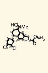 CN[C@H]1CC[C@@H](c2ccc(Cl)c(Cl)c2)c2ccc(CNC(=O)ON)cc21.Cl